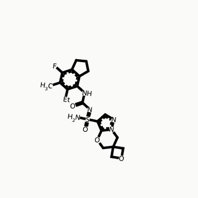 CCc1c(C)c(F)c2c(c1NC(=O)N=S(N)(=O)c1cnn3c1OCC1(COC1)C3)CCC2